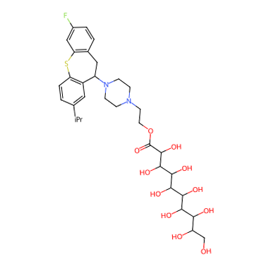 CC(C)c1ccc2c(c1)C(N1CCN(CCOC(=O)C(O)C(O)C(O)C(O)C(O)C(O)C(O)C(O)CO)CC1)Cc1ccc(F)cc1S2